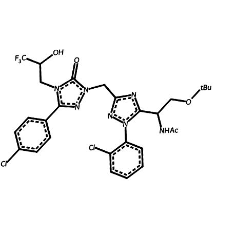 CC(=O)NC(COC(C)(C)C)c1nc(Cn2nc(-c3ccc(Cl)cc3)n(CC(O)C(F)(F)F)c2=O)nn1-c1ccccc1Cl